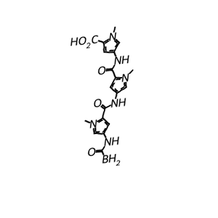 BC(=O)Nc1cc(C(=O)Nc2cc(C(=O)Nc3cc(C(=O)O)n(C)c3)n(C)c2)n(C)c1